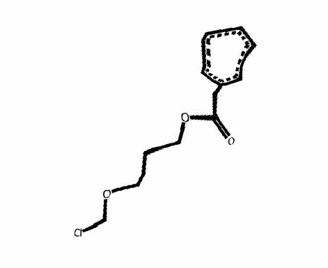 O=C(OCCCOCCl)c1ccccc1